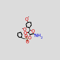 COc1ccc(C2OC(N)=C(OS(=O)(=O)Cc3ccccc3)C2=O)c(OC)c1